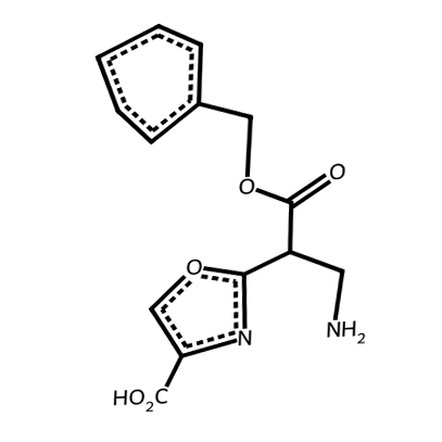 NCC(C(=O)OCc1ccccc1)c1nc(C(=O)O)co1